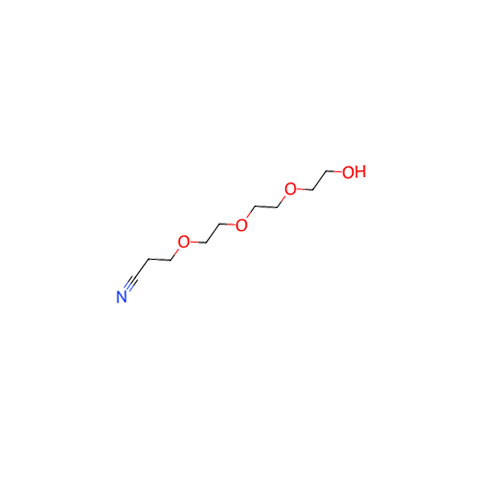 N#CCCOCCOCCOCCO